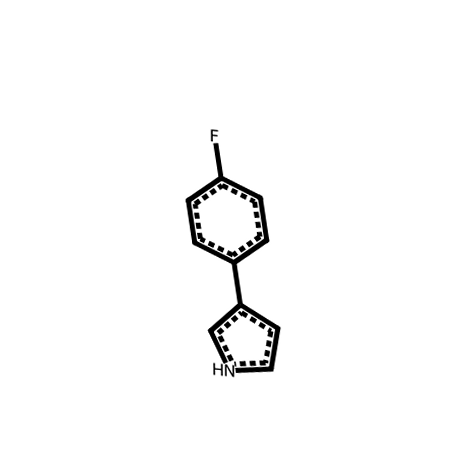 Fc1ccc(-c2cc[nH]c2)cc1